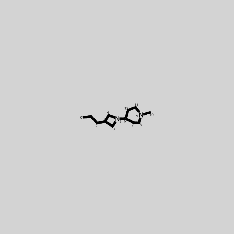 CCCC1CN(C2CCN(C)CC2)C1